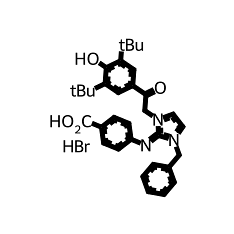 Br.CC(C)(C)c1cc(C(=O)Cn2ccn(Cc3ccccc3)c2=Nc2ccc(C(=O)O)cc2)cc(C(C)(C)C)c1O